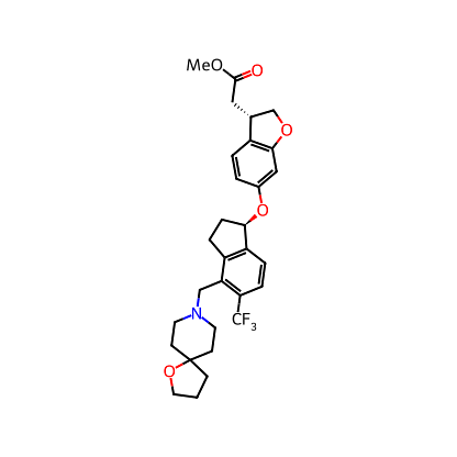 COC(=O)C[C@@H]1COc2cc(O[C@@H]3CCc4c3ccc(C(F)(F)F)c4CN3CCC4(CCCO4)CC3)ccc21